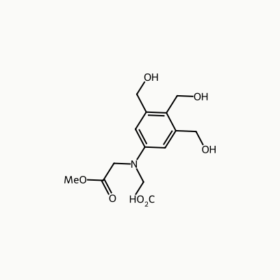 COC(=O)CN(CC(=O)O)c1cc(CO)c(CO)c(CO)c1